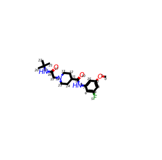 COc1cc(F)cc(NC(=O)C2CCN(CC(=O)NC(C)(C)C)CC2)c1